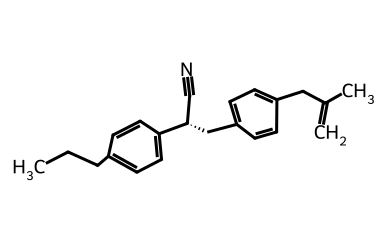 C=C(C)Cc1ccc(C[C@@H](C#N)c2ccc(CCC)cc2)cc1